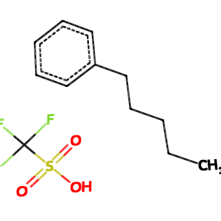 CCCCCc1ccccc1.O=S(=O)(O)C(F)(F)F